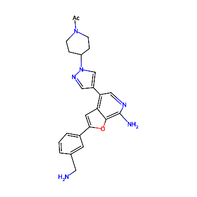 CC(=O)N1CCC(n2cc(-c3cnc(N)c4oc(-c5cccc(CN)c5)cc34)cn2)CC1